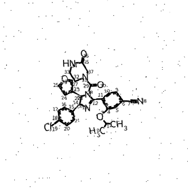 CC(C)Oc1cc(C#N)ccc1C1=N[C@@H](c2ccc(Cl)cc2)[C@@H](c2ccoc2)N1C(=O)N1CCNC(=O)C1